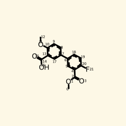 COC(=O)c1cc(-c2ccc(OC)c(C(=O)O)c2)ccc1F